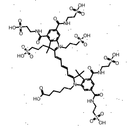 CC1(CCCS(=O)(=O)O)C(/C=C/C=C/C=C2/N(CCCCCC(=O)O)c3cc(C(=O)NCCS(=O)(=O)O)cc(C(=O)NCCS(=O)(=O)O)c3C2(C)C)=[N+](CCCS(=O)(=O)O)c2cc(C(=O)NCCS(=O)(=O)O)cc(C(=O)NCCS(=O)(=O)O)c21